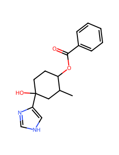 CC1CC(O)(c2c[nH]cn2)CCC1OC(=O)c1ccccc1